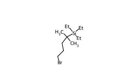 CC[Si](CC)(CC)C(C)(C)CCCBr